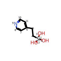 O[Si](O)(O)CCc1ccncc1